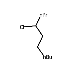 CCCCCCC(Cl)CCC